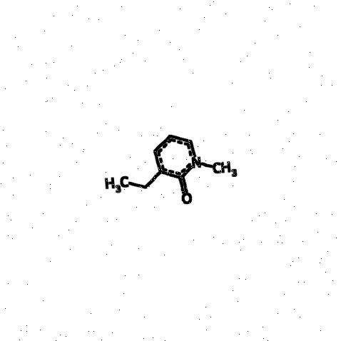 CCc1cccn(C)c1=O